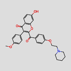 COc1ccc(-c2c(C(=O)c3ccc(OCCN4CCCCC4)cc3)oc3cc(O)ccc3c2=O)cc1